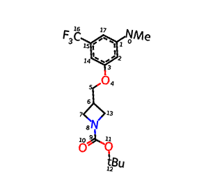 CNc1cc(OCC2CN(C(=O)OC(C)(C)C)C2)cc(C(F)(F)F)c1